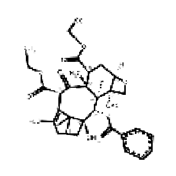 CC(=O)O[C@@]12CO[C@@H]1C[C@H](C(=O)OCC(Cl)(Cl)Cl)[C@@]1(C)C(=O)[C@H](C(=O)OCC(Cl)(Cl)Cl)C3=C(C)[CH]C[C@@](O)([C@@H](OC(=O)c4ccccc4)[C@H]21)C3(C)C